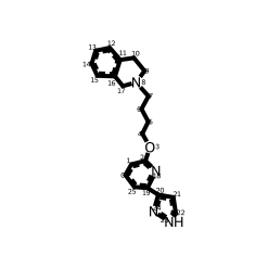 c1cc(OCCCCN2CCc3ccccc3C2)nc(-c2cc[nH]n2)c1